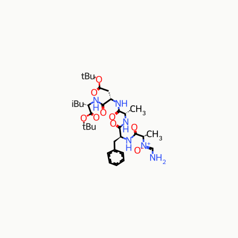 CCC(C)[C@H](NC(=O)[C@H](CC(=O)OC(C)(C)C)NC(=O)[C@H](C)NC(=O)[C@H](Cc1ccccc1)NC(=O)[C@H](C)[N+]([O-])=CN)C(=O)OC(C)(C)C